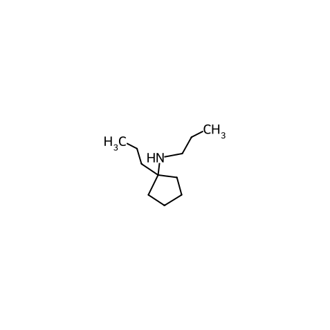 CCCNC1(CCC)CCCC1